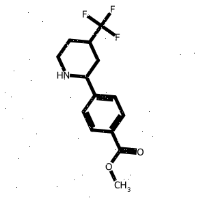 COC(=O)c1ccc(C2CC(C(F)(F)F)CCN2)cc1